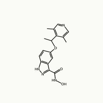 Cc1cncc(C)c1C(C)Oc1ccc2[nH]nc(C(=O)NO)c2c1